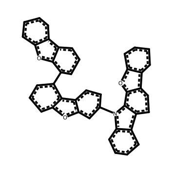 c1ccc2c(c1)oc1c(-c3cccc4oc5cc(-n6c7ccccc7c7ccc8c9ccccc9oc8c76)ccc5c34)cccc12